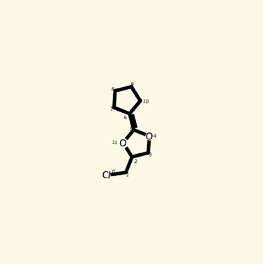 ClCC1COC(=C2CCCC2)O1